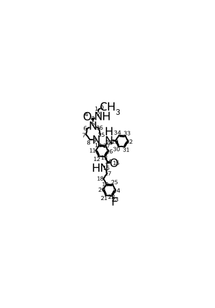 CCNC(=O)N1CCCN(c2ccc(C(=O)NCCc3ccc(F)cc3)cc2Nc2ccccc2)CC1